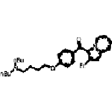 CCCCN(CCCC)CCCCOc1ccc(C(=O)c2c(CC)cc3ccccn23)cc1